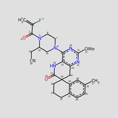 C=C(F)C(=O)N1CCN(c2nc(OC)nc3c2NC(=O)C2(CCCc4ccc(C)cc42)C3)CC1CC#N